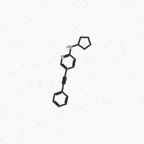 C(#Cc1ccc(NC2CCCC2)nc1)c1ccccc1